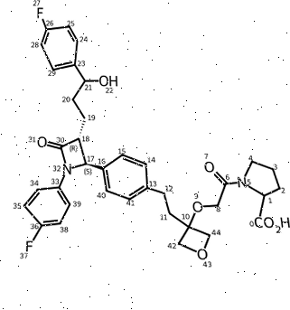 O=C(O)C1CCCN1C(=O)COC1(CCc2ccc([C@@H]3[C@@H](CCC(O)c4ccc(F)cc4)C(=O)N3c3ccc(F)cc3)cc2)COC1